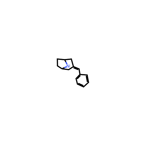 C(=C1CC2CCC(C1)[N]2)c1ccccc1